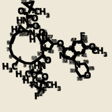 CC[C@@H]1C[C@@H](C)CCC=C[C@@H]2C[C@@]2(C(=O)NS(=O)(=O)C2(C)CC2)NC(=O)[C@@H]2C[C@@H](Oc3ncc(N4CCOCC4)c4cc(OC)c(F)cc34)CN2C(=O)[C@H]1NC(=O)OC(C)(C)C(F)(F)F